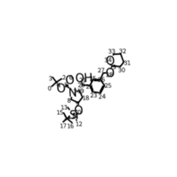 CC(C)(C)OC(=O)N1C[C@H](O[Si](C)(C)C(C)(C)C)C[C@H]1C(O)c1cccc(COC2CCCCO2)c1